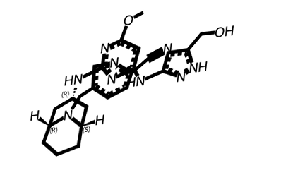 COc1cc(Nc2cc(CO)[nH]n2)nc(N[C@H]2C[C@H]3CCC[C@@H](C2)N3Cc2ccc(C#N)nc2)n1